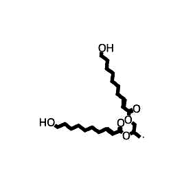 [CH2]C(COC(=O)C=CCCCCCCCO)OC(=O)C=CCCCCCCCO